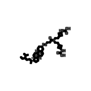 CCC(CCC(C)[C@H]1CC[C@H]2[C@@H]3CC=C4C[C@@H](SSCCC(=O)N(CCC5CC(NC(=O)O)C5)CCC5CC(NC(=O)O)C5)CC[C@]4(C)[C@H]3CC[C@]12C)C(C)C